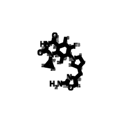 Cc1c(F)c(N2CCC(Cc3coc(N)n3)C2)c(C)c2c1c(=O)[nH]c(=O)n2C1CC1